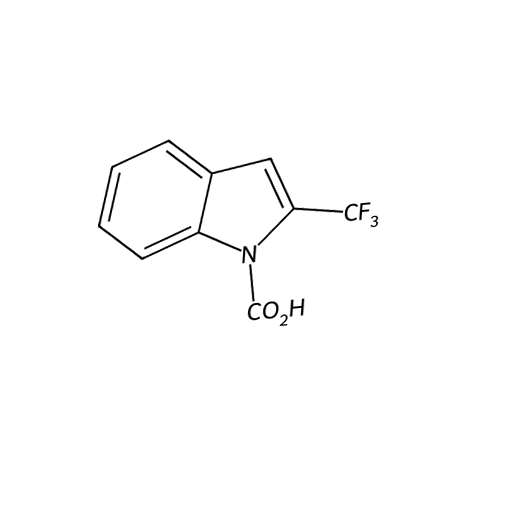 O=C(O)n1c(C(F)(F)F)cc2ccccc21